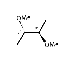 CO[C@@H](C)[C@@H](C)OC